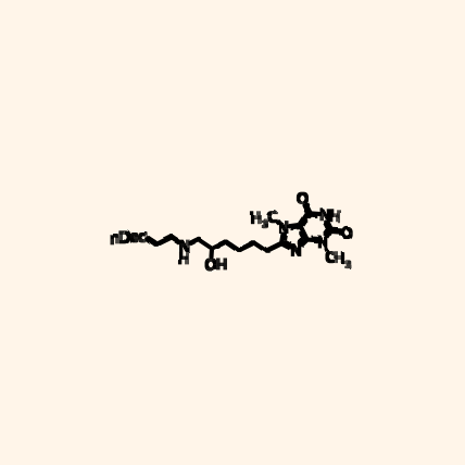 CCCCCCCCCCCCNCC(O)CCCCc1nc2c(c(=O)[nH]c(=O)n2C)n1C